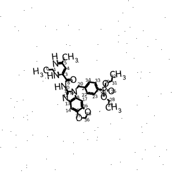 CCN/C(=C\C(C)=N)C(=O)Nc1nc2cc3c(cc2n1Cc1ccc(P(=O)(OCC)OCC)cc1)OCO3